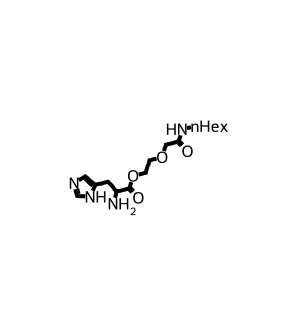 CCCCCCNC(=O)COCCOC(=O)C(N)Cc1cnc[nH]1